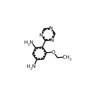 CCOc1cc(N)cc(N)c1-c1ncncn1